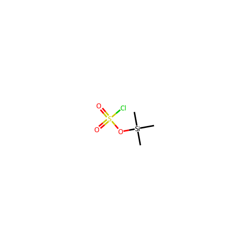 C[Si](C)(C)OS(=O)(=O)Cl